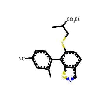 CCOC(=O)C(C)CSc1ccc2cnsc2c1-c1ccc(C#N)cc1C